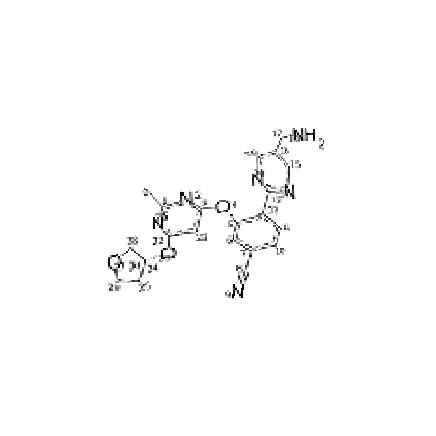 Cc1nc(Oc2cc(C#N)ccc2-c2ncc(CN)cn2)cc(O[C@@H]2CCOC2)n1